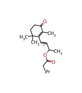 CC1=C(/C=C/C(C)OC(=O)CC(C)C)C(C)(C)CCC1=O